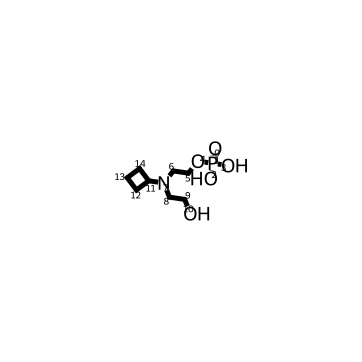 O=P(O)(O)OCCN(CCO)C1CCC1